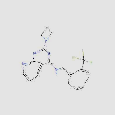 FC(F)(F)c1ccccc1CNc1nc(N2CCC2)nc2ncccc12